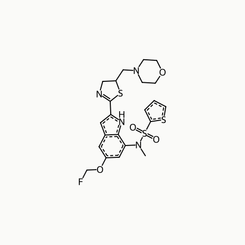 CN(c1cc(OCF)cc2cc(C3=NCC(CN4CCOCC4)S3)[nH]c12)S(=O)(=O)c1cccs1